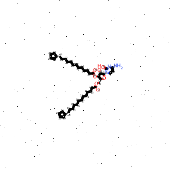 Nc1ccn([C@@H]2O[C@H](COC(=O)CCCCCCCCCCCC[C@@H]3C=CCC3)[C@@H](OC(=O)CCCCCCCCCCCC[C@@H]3C=CCC3)[C@@H]2O)c(=O)n1